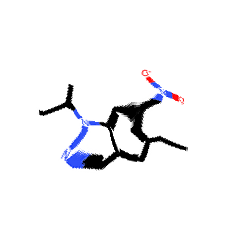 Cc1cc2cnn(C(C)C)c2cc1[N+](=O)[O-]